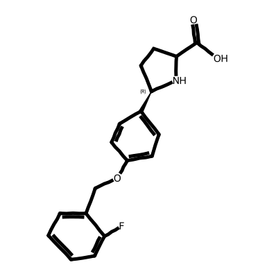 O=C(O)C1CC[C@H](c2ccc(OCc3ccccc3F)cc2)N1